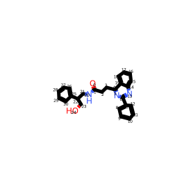 O=C(CCc1nc(-c2ccccc2)nc2ccccc12)NCC(CO)c1ccccc1